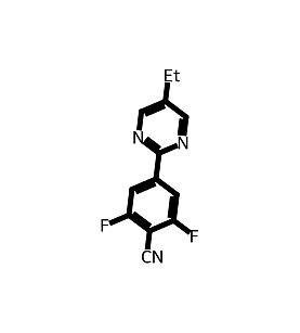 CCc1cnc(-c2cc(F)c(C#N)c(F)c2)nc1